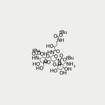 CC(C)(C)OC(=O)NCC[C@H](O)C(=O)N[C@@H]1OC(NC(=O)OC(C)(C)C)[C@@H](O[C@H]2OC(CN)[C@@H](O)[C@H](O)C2O)[C@H](O)C1O[C@H]1OC(CO)[C@@H](O)C(NC(=O)OC(C)(C)C)[C@@H]1O